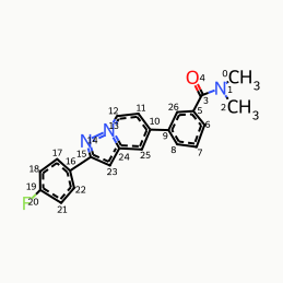 CN(C)C(=O)c1cccc(-c2ccn3nc(-c4ccc(F)cc4)cc3c2)c1